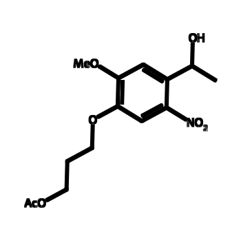 COc1cc(C(C)O)c([N+](=O)[O-])cc1OCCCOC(C)=O